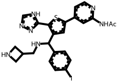 CC(=O)Nc1cc(-c2cc(C(NCC3CNC3)c3ccc(I)cc3)c(-c3nnc[nH]3)s2)ccn1